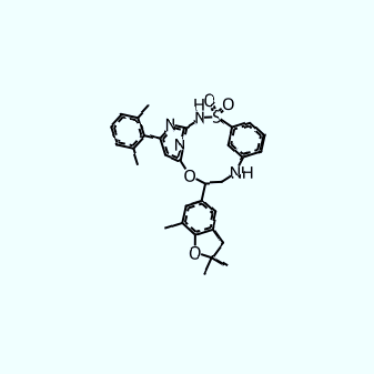 Cc1cc(C2CNc3cccc(c3)S(=O)(=O)Nc3nc(cc(-c4c(C)cccc4C)n3)O2)cc2c1OC(C)(C)C2